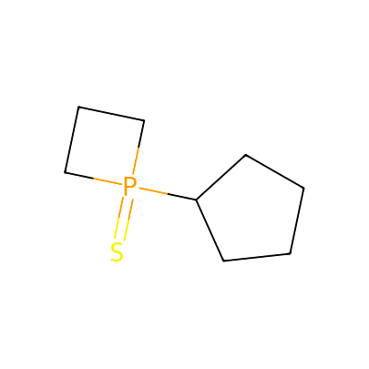 S=P1(C2CCCC2)CCC1